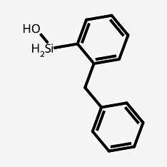 O[SiH2]c1ccccc1Cc1ccccc1